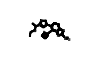 CCOC(C)n1cc(-c2ccc3nc(N)nn3c2N2CC3CC2C3)cn1